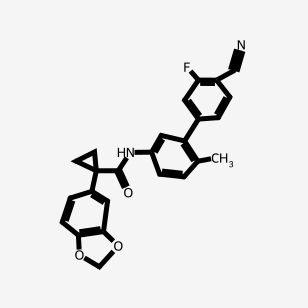 Cc1ccc(NC(=O)C2(c3ccc4c(c3)OCO4)CC2)cc1-c1ccc(C#N)c(F)c1